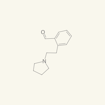 O=Cc1ccccc1CCN1CCCC1